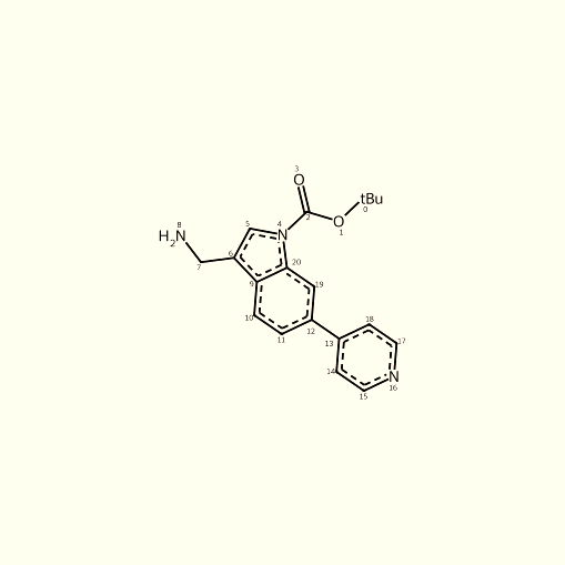 CC(C)(C)OC(=O)n1cc(CN)c2ccc(-c3ccncc3)cc21